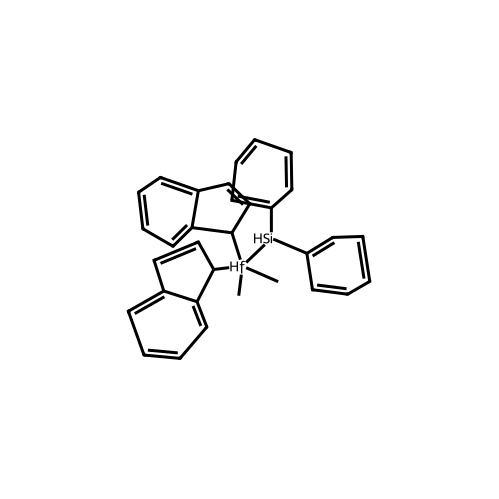 [CH3][Hf]([CH3])([CH]1C=Cc2ccccc21)([CH]1C=Cc2ccccc21)[SiH](c1ccccc1)c1ccccc1